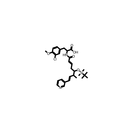 COc1ccc(CC(NC(=O)/C=C/CC(O[Si](C)(C)C(C)(C)C)C(C)/C=C/c2cccnc2)C(=O)O)cc1Cl